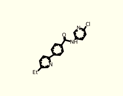 CCc1ccc(-c2ccc(C(=O)Nc3ccc(Cl)nc3)cc2)nc1